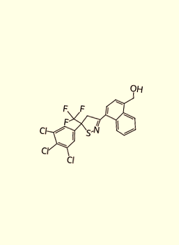 OCc1ccc(C2=NSC(c3cc(Cl)c(Cl)c(Cl)c3)(C(F)(F)F)C2)c2ccccc12